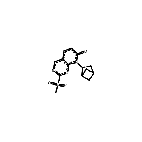 CS(=O)(=O)c1ncc2ccc(=O)n(C3CC4CC3C4)c2n1